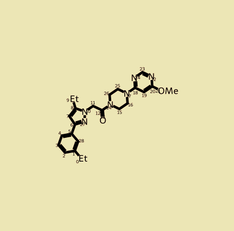 CCc1cccc(-c2cc(CC)n(CC(=O)N3CCN(c4cc(OC)ncn4)CC3)n2)c1